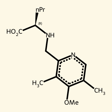 CCC[C@@H](NCc1ncc(C)c(OC)c1C)C(=O)O